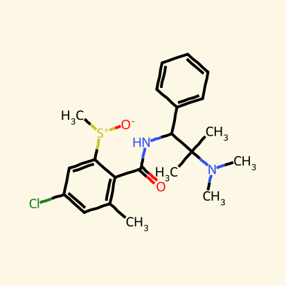 Cc1cc(Cl)cc([S+](C)[O-])c1C(=O)NC(c1ccccc1)C(C)(C)N(C)C